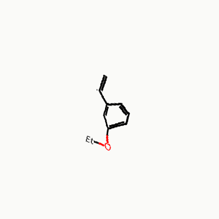 C=[C]c1cccc(OCC)c1